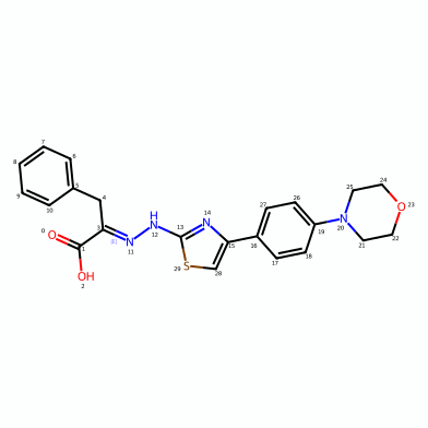 O=C(O)/C(Cc1ccccc1)=N/Nc1nc(-c2ccc(N3CCOCC3)cc2)cs1